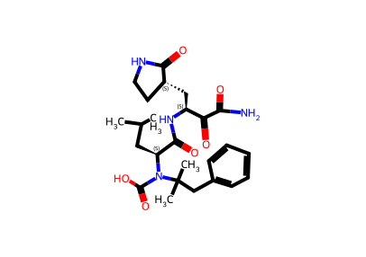 CC(C)C[C@@H](C(=O)N[C@@H](C[C@@H]1CCNC1=O)C(=O)C(N)=O)N(C(=O)O)C(C)(C)Cc1ccccc1